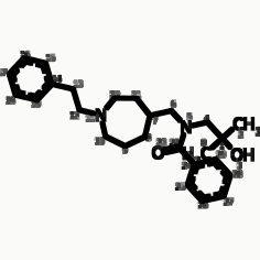 CC(C)(O)CN(CC1CCCN(CCc2ccccc2)CC1)C(=O)c1ccccc1